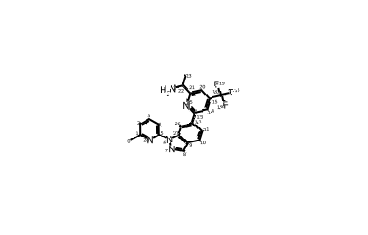 Cc1cccc(-n2ncc3ccc(-c4cc(C(F)(F)F)cc(C(C)N)n4)cc32)n1